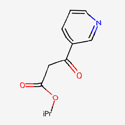 CC(C)OC(=O)CC(=O)c1cccnc1